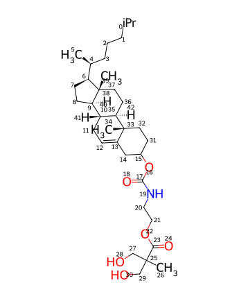 CC(C)CCC[C@H](C)[C@@H]1CC[C@@H]2[C@H]3CC=C4CC(OC(=O)NCCOC(=O)C(C)(CO)CO)CC[C@@]4(C)[C@@H]3CC[C@]21C